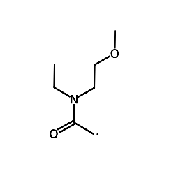 [CH2]C(=O)N(CC)CCOC